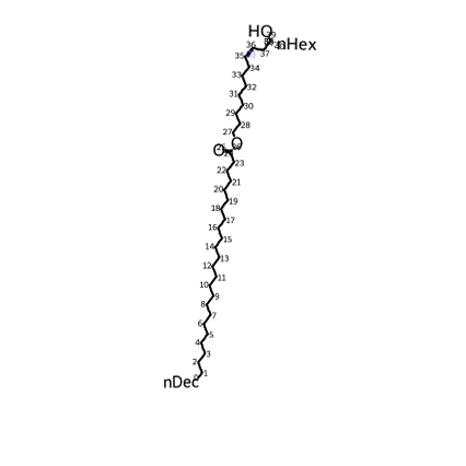 CCCCCCCCCCCCCCCCCCCCCCCCCCCCCCCCCC(=O)OCCCCCCCC/C=C\C[C@H](O)CCCCCC